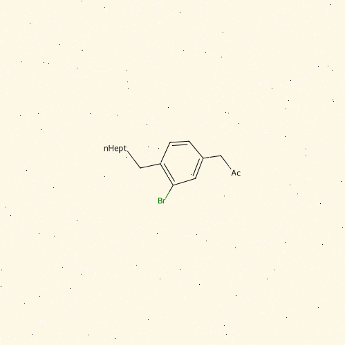 CCCCCCCCc1ccc(CC(C)=O)cc1Br